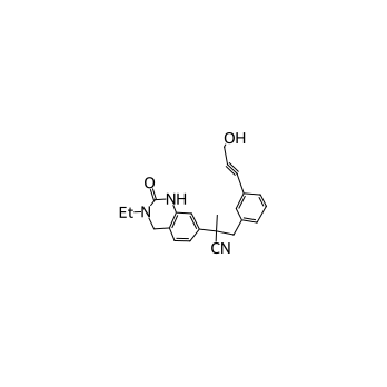 CCN1Cc2ccc(C(C)(C#N)Cc3cccc(C#CCO)c3)cc2NC1=O